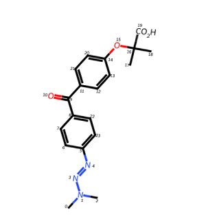 CN(C)N=Nc1ccc(C(=O)c2ccc(OC(C)(C)C(=O)O)cc2)cc1